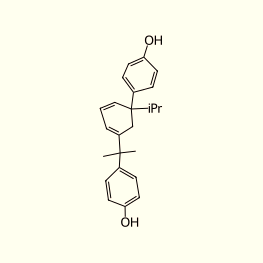 CC(C)C1(c2ccc(O)cc2)C=CC=C(C(C)(C)c2ccc(O)cc2)C1